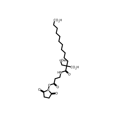 CCCCCCCCCCCC(CCCCCCCCCCC(=O)O)(C(=O)O)C(=O)NCCC(=O)ON1C(=O)CCC1=O